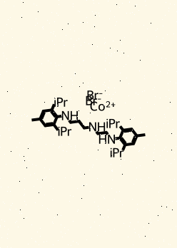 Cc1cc(C(C)C)c(NCCCNCCNc2c(C(C)C)cc(C)cc2C(C)C)c(C(C)C)c1.[Br-].[Br-].[Co+2]